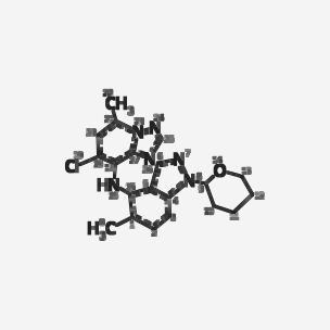 Cc1ccc2c(cnn2C2CCCCO2)c1Nc1c(Cl)cc(C)n2ncnc12